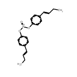 CCC=Cc1ccc(O[PH](=O)Oc2ccc(C=CCC)cc2)cc1